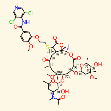 COc1ccc(C(=O)Nc2c(Cl)cncc2Cl)cc1OCCSC1C(=O)O[C@@]2(C)[C@H]1[C@@H](C)C(=O)[C@H](C)C[C@@](C)(OC)[C@H](O[C@@H]1O[C@H](C)C[C@H](N(C)C(C)=O)[C@H]1O)[C@@H](C)[C@H](O[C@H]1C[C@@](C)(OC)[C@@H](O)[C@H](C)O1)[C@@H](C)C(=O)O[C@@H]2I